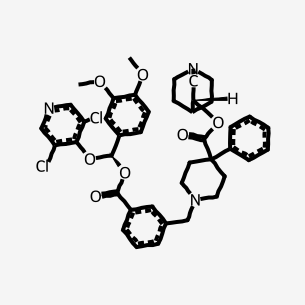 COc1ccc([C@@H](OC(=O)c2cccc(CN3CCC(C(=O)O[C@H]4CN5CCC4CC5)(c4ccccc4)CC3)c2)Oc2c(Cl)cncc2Cl)cc1OC